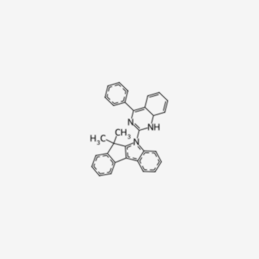 CC1(C)c2ccccc2-c2c1n(C1=NC(c3ccccc3)=C3C=CC=CC3N1)c1ccccc21